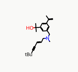 C=C(C)c1cc(CN(C)CC=CC#CC(C)(C)C)cc(C(C)(C)O)c1